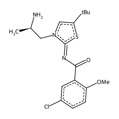 COc1ccc(Cl)cc1C(=O)/N=c1\sc(C(C)(C)C)cn1C[C@@H](C)N